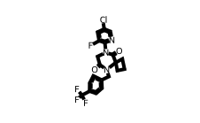 O=C1CN(c2ncc(Cl)cc2F)C(=O)C2(CCC2)N1Cc1ccc(C(F)(F)F)cc1